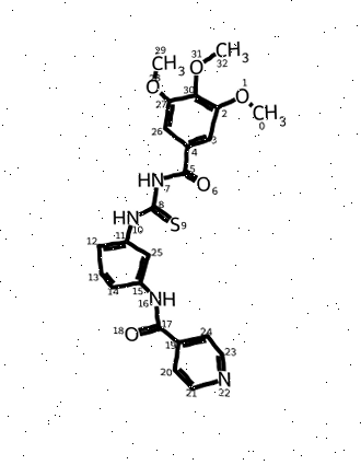 COc1cc(C(=O)NC(=S)Nc2cccc(NC(=O)c3ccncc3)c2)cc(OC)c1OC